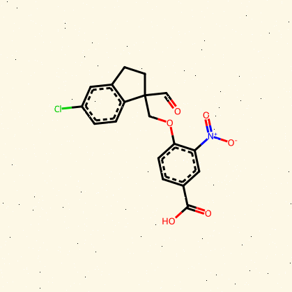 O=CC1(COc2ccc(C(=O)O)cc2[N+](=O)[O-])CCc2cc(Cl)ccc21